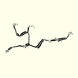 C/C=N/O/C=C/C(=N/C=N)C(/C)=C/O